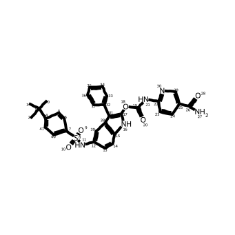 CC(C)(C)c1ccc(S(=O)(=O)Nc2ccc3[nH]c(OC(=O)Nc4ccc(C(N)=O)cn4)c(-c4ccccc4)c3c2)cc1